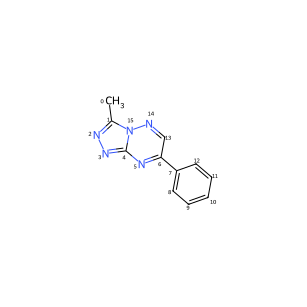 Cc1nnc2nc(-c3ccccc3)cnn12